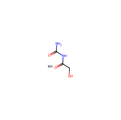 NC(=O)NC(=O)CO.[KH]